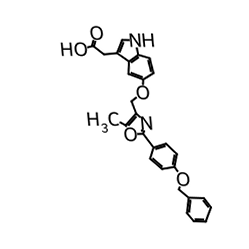 Cc1oc(-c2ccc(OCc3ccccc3)cc2)nc1COc1ccc2[nH]cc(CC(=O)O)c2c1